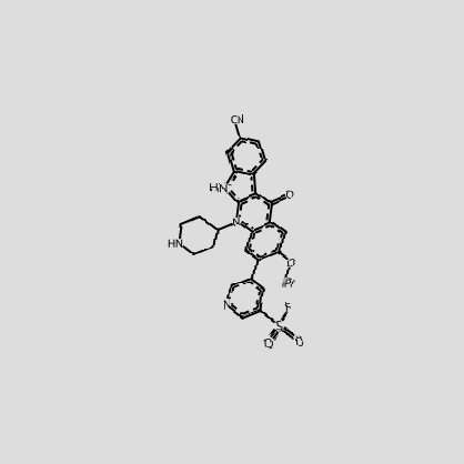 CC(C)Oc1cc2c(=O)c3c4ccc(C#N)cc4[nH]c3n(C3CCNCC3)c2cc1-c1cncc(S(=O)(=O)F)c1